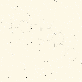 Cc1cc(N2CCOCC2)nc(C2CC2)c1C(=O)NCc1ccc(C(F)(F)F)cc1